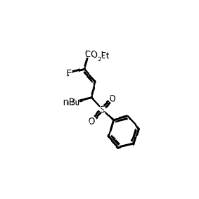 CCCCC(/C=C(\F)C(=O)OCC)S(=O)(=O)c1ccccc1